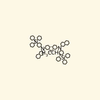 CC1(C)c2cc(N(c3ccc([Si](c4ccccc4)(c4ccccc4)c4ccccc4)cc3)c3ccc4ccccc4c3)ccc2-c2ccc(N(c3ccc([Si](c4ccccc4)(c4ccccc4)c4ccccc4)cc3)c3ccc4ccccc4c3)cc21